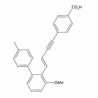 COc1cccc(-c2ccc(C)cc2)c1/C=C/C#Cc1ccc(C(=O)O)cc1